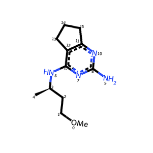 COCC[C@@H](C)Nc1nc(N)nc2c1CCC2